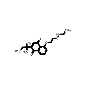 CSCNOCCOc1cccc2c1C(=O)C=C(C(C)(C)CC(=O)O)C2=O